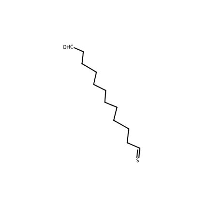 O=CCCCCCCCCCCC=S